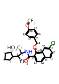 O=C(NC(C(=O)O)C(C1CCCC1)C(F)(F)F)c1ccc2ccc(Cl)cc2c1OCc1ccc(OC(F)(F)F)cc1